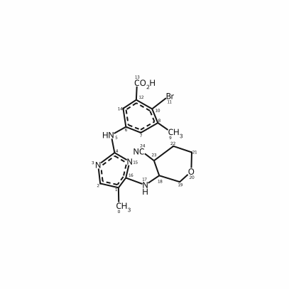 Cc1cnc(Nc2cc(C)c(Br)c(C(=O)O)c2)nc1NC1COCCC1C#N